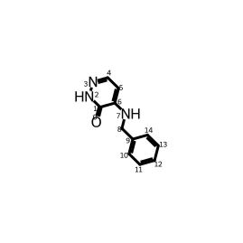 O=c1[nH]nccc1NCc1ccccc1